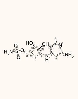 Cc1nc(N)cc(N[C@@H]2C[C@H](COS(N)(=O)=O)[C@@H](O)[C@H]2O)n1